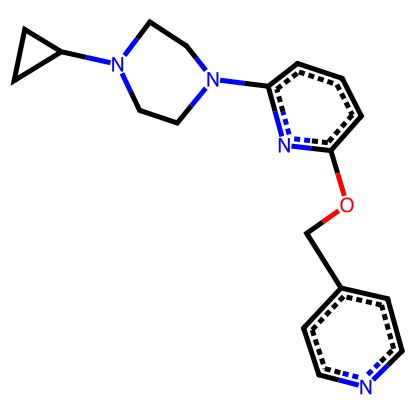 c1cc(OCc2ccncc2)nc(N2CCN(C3CC3)CC2)c1